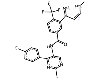 CN/C=C\C(=N)c1cc(C(=O)Nc2cnc(C)nc2-c2ccc(F)cc2)ccc1C(F)(F)F